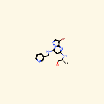 CC(C)[C@@H](CO)Nc1cc(NCc2cccnc2)n2ncc(Br)c2n1